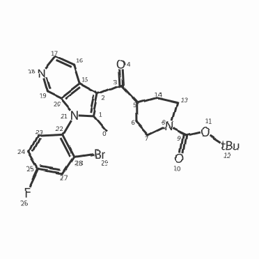 Cc1c(C(=O)C2CCN(C(=O)OC(C)(C)C)CC2)c2ccncc2n1-c1ccc(F)cc1Br